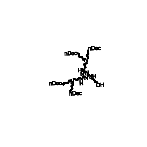 CCCCCCCCCCCCCCN(CCCCCCCCCCCCCC)CCCNc1nc(NCCCCO)nc(NCCCN(CCCCCCCCCCCCCC)CCCCCCCCCCCCCC)n1